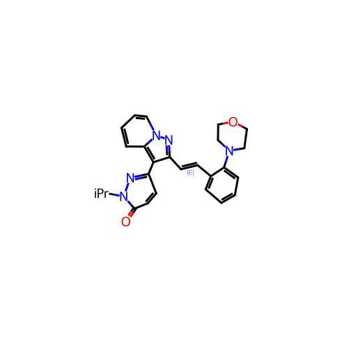 CC(C)n1nc(-c2c(/C=C/c3ccccc3N3CCOCC3)nn3ccccc23)ccc1=O